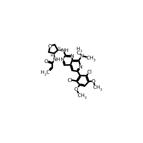 C=CC(=O)N[C@H]1COC[C@H]1Nc1ncc2cc(-c3c(Cl)c(OC)cc(OC)c3Cl)nc(N(C)C)c2n1